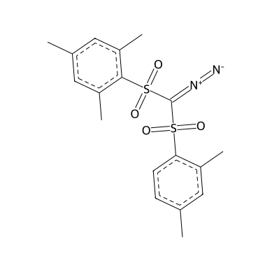 Cc1ccc(S(=O)(=O)C(=[N+]=[N-])S(=O)(=O)c2c(C)cc(C)cc2C)c(C)c1